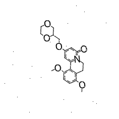 COc1ccc(OC)c2c1CCn1c-2cc(OCC2COCCO2)cc1=O